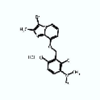 CC(=O)N(C)c1ccc(Cl)c(COc2cccn3c(Br)c(C)nc23)c1Cl.Cl